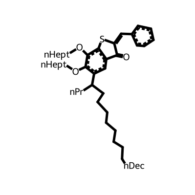 CCCCCCCCCCCCCCCCCCC(CCC)c1cc2c(c(OCCCCCCC)c1OCCCCCCC)SC(=Cc1ccccc1)C2=O